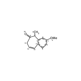 COc1ccc2c(c1)C(C)C(=O)CC=C2